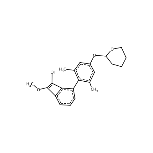 COC1=C(O)c2c1cccc2-c1c(C)cc(OC2CCCCO2)cc1C